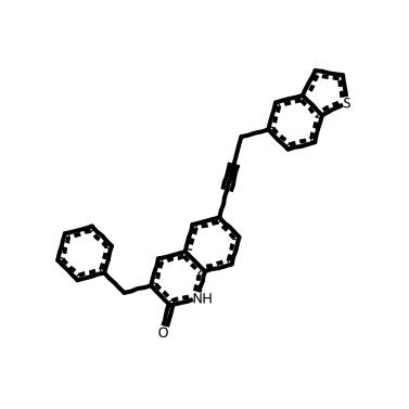 O=c1[nH]c2ccc(C#CCc3ccc4sccc4c3)cc2cc1Cc1ccccc1